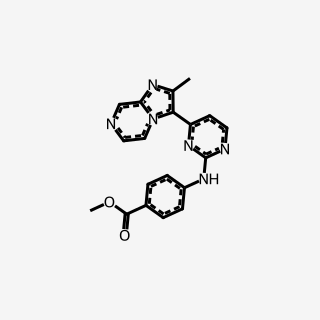 COC(=O)c1ccc(Nc2nccc(-c3c(C)nc4cnccn34)n2)cc1